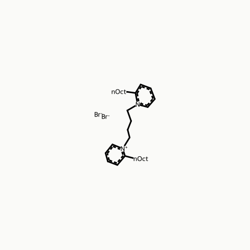 CCCCCCCCc1cccc[n+]1CCCC[n+]1ccccc1CCCCCCCC.[Br-].[Br-]